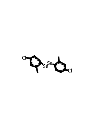 Cc1cc(Cl)ccc1[Se][Se]c1ccc(Cl)cc1C